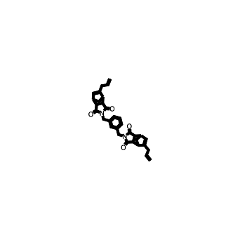 C=CCC1=CC2CC1C1C(=O)N(Cc3cccc(CN4C(=O)C5C6C=C(CC=C)C(C6)C5C4=O)c3)C(=O)C21